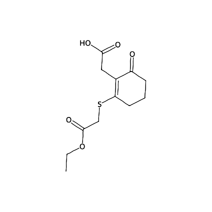 CCOC(=O)CSC1=C(CC(=O)O)C(=O)CCC1